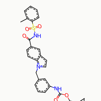 Cc1ccccc1S(=O)(=O)NC(=O)c1ccc2c(ccn2Cc2cccc(NC(=O)OCC3CC3)c2)c1